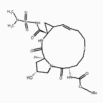 CN(C)S(=O)(=O)NC(=O)[C@@]12CC1/C=C\CCCCC[C@H](NC(=O)OC(C)(C)C)C(=O)N1C[C@H](O)C[C@H]1C(=O)N2